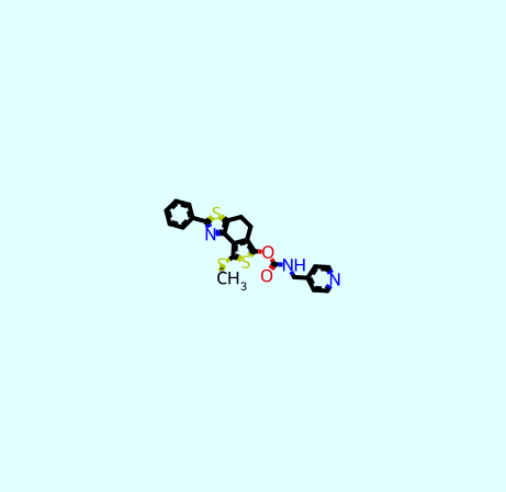 CSc1sc(OC(=O)NCc2ccncc2)c2c1-c1nc(-c3ccccc3)sc1CC2